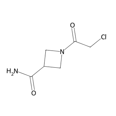 NC(=O)C1CN(C(=O)CCl)C1